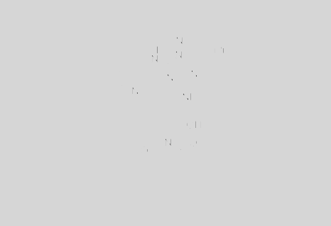 CC(C)c1cnn2c(NCc3ccccc3-c3ccc4ccccc4n3)nc(NC[C@H](O)CN3C(=O)c4ccccc4C3=O)nc12